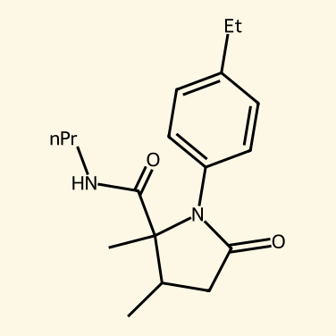 CCCNC(=O)C1(C)C(C)CC(=O)N1c1ccc(CC)cc1